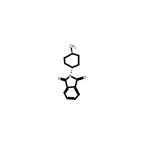 [CH2][C@H]1CC[C@H](N2C(=O)c3ccccc3C2=O)CC1